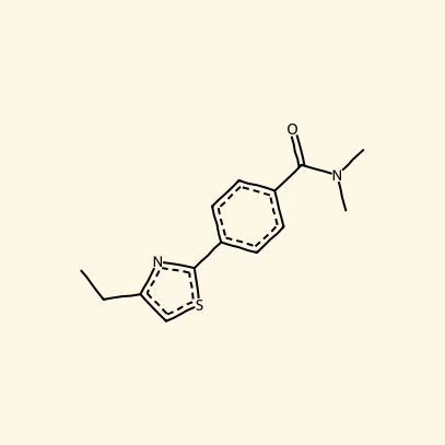 CCc1csc(-c2ccc(C(=O)N(C)C)cc2)n1